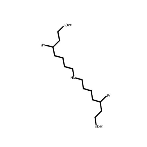 CCCCCCCCCCCCC(CCCCNCCCCC(CCCCCCCCCCCC)C(C)C)C(C)C